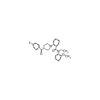 CCN(C(=O)c1ccccc1N1CCC(C(=O)c2ccc(F)cc2)CC1)c1ccccc1OC